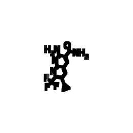 NC(=O)c1cc2cc(C3CC3)c(C(F)(F)F)nc2nc1N